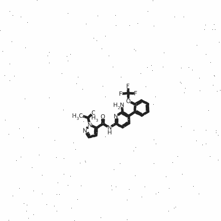 CC(C)n1nccc1C(=O)Nc1ccc(-c2ccccc2OC(F)(F)F)c(N)n1